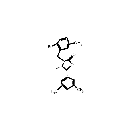 C[C@H]1[C@@H](c2cc(C(F)(F)F)cc(C(F)(F)F)c2)OC(=O)N1Cc1cc(N)ccc1Br